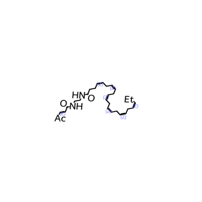 CC/C=C\C/C=C\C/C=C\C/C=C\C/C=C\C/C=C\CCC(=O)NCCNC(=O)/C=C/C(C)=O